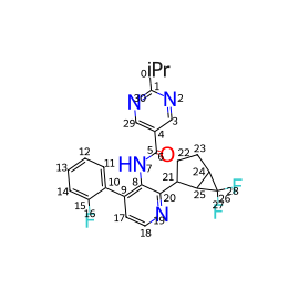 CC(C)c1ncc(C(=O)Nc2c(-c3ccccc3F)ccnc2C2CCC3C2C3(F)F)cn1